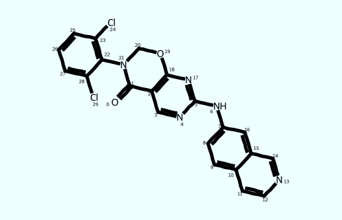 O=C1c2cnc(Nc3ccc4ccncc4c3)nc2OCN1c1c(Cl)cccc1Cl